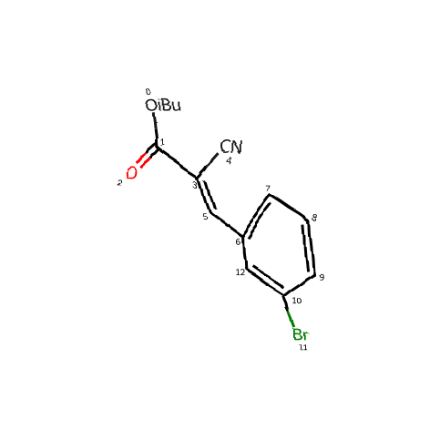 CC(C)COC(=O)/C(C#N)=C/c1cccc(Br)c1